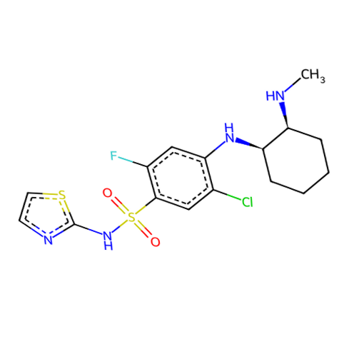 CN[C@H]1CCCC[C@H]1Nc1cc(F)c(S(=O)(=O)Nc2nccs2)cc1Cl